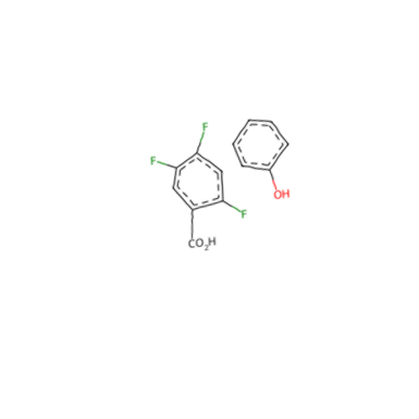 O=C(O)c1cc(F)c(F)cc1F.Oc1ccccc1